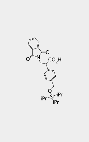 CC(C)[Si](OCc1ccc(C(CN2C(=O)c3ccccc3C2=O)C(=O)O)cc1)(C(C)C)C(C)C